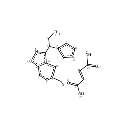 CCC(c1noc2ccc(Cl)cc12)n1ccnc1.O=C(O)C=CC(=O)O